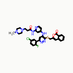 CN1CCN(CCC(=O)Nc2cc(Nc3cc(-c4cc(Cl)ccc4F)nnc3SCc3cc4ccccc4c(=O)o3)ccn2)CC1